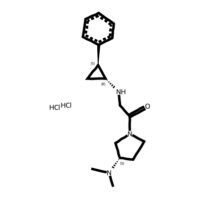 CN(C)[C@H]1CCN(C(=O)CN[C@@H]2C[C@H]2c2ccccc2)C1.Cl.Cl